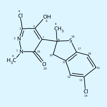 Cn1nc(Cl)c(O)c(C2(C)Cc3cc(Cl)ccc3S2)c1=O